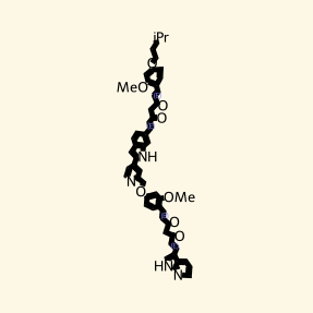 COc1cc(OCCCC(C)C)ccc1/C=C/C(=O)CC(=O)/C=C/c1ccc2cc(-c3ccnc(COc4ccc(/C=C/C(=O)CC(=O)/C=C/c5c[nH]c6ncccc56)c(OC)c4)c3)[nH]c2c1